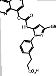 CC(C)(C)c1cc(NC(=O)Oc2cccc3cccnc23)n(-c2cccc(CCC(=O)O)c2)n1